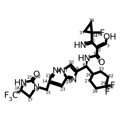 N=C(/C(=C\O)C(=O)N[C@H](c1cn2ncc(CN3C[C@@H](C(F)(F)F)NC3=O)cc2n1)C1CCC(F)(F)CC1)C1(F)CC1